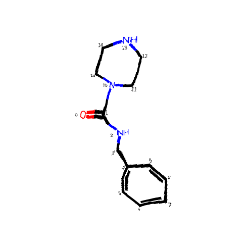 O=C(NCc1ccccc1)N1CCNCC1